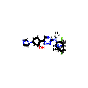 CN(c1ncc(-c2ccc(-n3ccnc3)cc2O)nn1)[C@@H]1C[C@@H]2N[C@@H](C[C@@H]2F)[C@H]1F